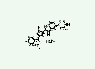 C[C@H]1CN(c2ccc3nc(-c4cc(C(=O)c5ccccc5C(F)(F)F)c[nH]4)[nH]c3c2)CCN1.Cl